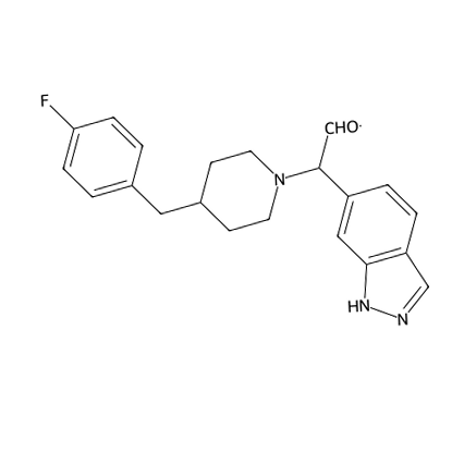 O=[C]C(c1ccc2cn[nH]c2c1)N1CCC(Cc2ccc(F)cc2)CC1